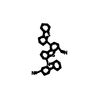 N#Cc1ccc2c3ccccc3n(-c3cccc4c3sc3c(C#N)ccc(-c5cccc6c5sc5ccccc56)c34)c2c1